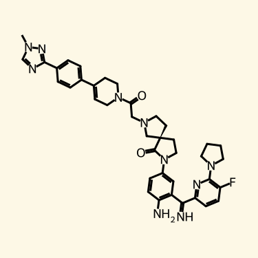 Cn1cnc(-c2ccc(C3=CCN(C(=O)CN4CC[C@]5(CCN(c6ccc(N)c(C(=N)c7ccc(F)c(N8CCCC8)n7)c6)C5=O)C4)CC3)cc2)n1